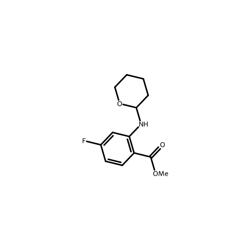 COC(=O)c1ccc(F)cc1NC1CCCCO1